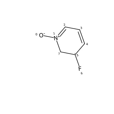 [O-][N+]1=CC=C[C](F)C1